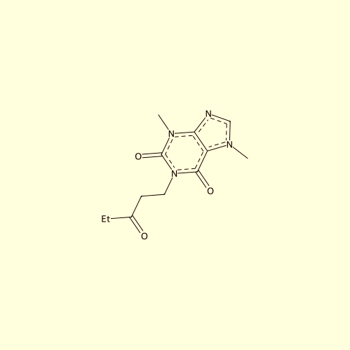 CCC(=O)CCn1c(=O)c2c(ncn2C)n(C)c1=O